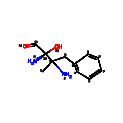 CC(N)(Cc1ccccc1)[C@@](N)(O)[C]=O